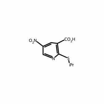 CC(C)Sc1ncc([N+](=O)[O-])cc1C(=O)O